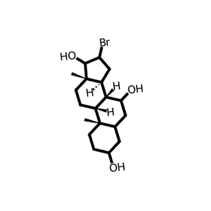 C[C@]12CCC(O)CC1CC(O)[C@@H]1[C@H]2CC[C@]2(C)C(O)C(Br)C[C@@H]12